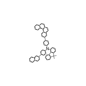 CC1(C)c2ccccc2-c2c(N(c3ccc(-c4ccc5ccccc5c4)cc3)c3ccc(-c4ccc5c(ccc6ccc7ccccc7c65)c4)cc3)cccc21